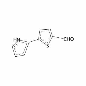 O=Cc1ccc(-c2ccc[nH]2)s1